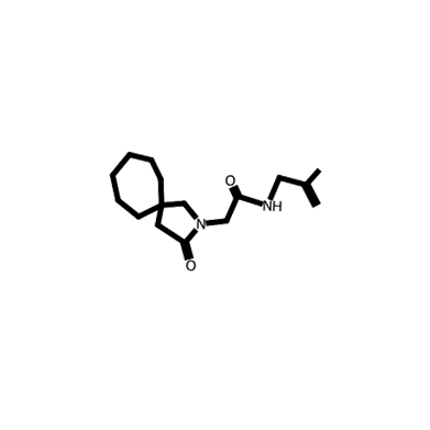 C=C(C)CNC(=O)CN1CC2(CCCCCC2)CC1=O